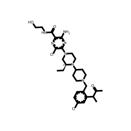 CC[C@H]1CN(c2nc(N)c(C(=O)NCCO)nc2Cl)CCN1C1CCN(Cc2ccc(Cl)cc2C(C)C(C)=O)CC1